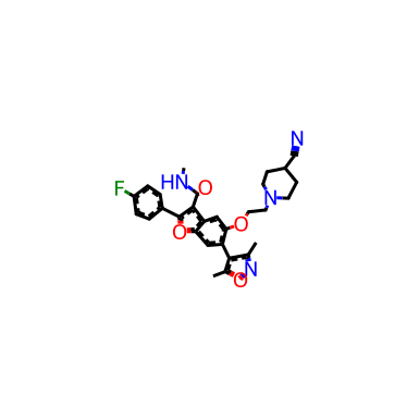 CNC(=O)c1c(-c2ccc(F)cc2)oc2cc(-c3c(C)noc3C)c(OCCN3CCC(C#N)CC3)cc12